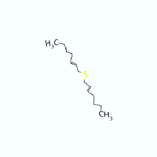 CCCCC=CCSCC=CCCCC